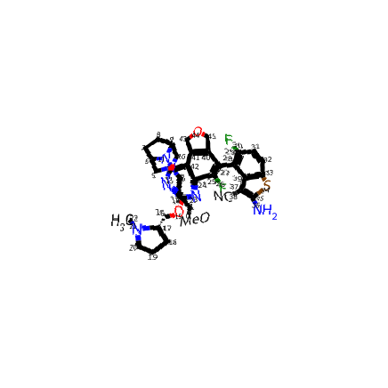 COCCCN1CC2CCC(C1)N2c1nc(OC[C@@H]2CCCN2C)nc2c(F)c(-c3c(F)ccc4sc(N)c(C#N)c34)c3c(c12)COC3